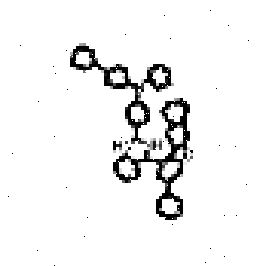 c1ccc(-c2ccc(N(c3ccccc3)c3ccc(C4Nc5ccccc5C(c5cc(-c6ccccc6)cc6oc7cc8ccccc8cc7c56)N4)cc3)cc2)cc1